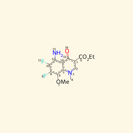 CCOC(=O)c1cn(C)c2c(OC)c(F)c(F)c(N)c2c1=O